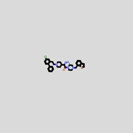 NC(C(=O)N1CCN(Cc2cccc3ccsc23)CC1)C1CCN(CCc2cc(Cl)ccc2-c2ccccc2)CC1